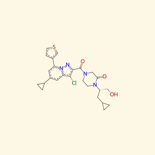 O=C(c1nn2c(-c3ccsc3)cc(C3CC3)cc2c1Cl)N1CCN([C@H](CO)CC2CC2)C(=O)C1